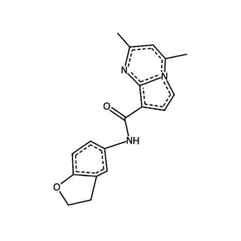 Cc1cc(C)n2ccc(C(=O)Nc3ccc4c(c3)CCO4)c2n1